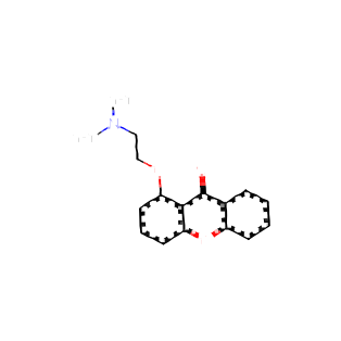 CCCN(CCC)CCOc1cccc2oc3ccccc3c(=O)c12